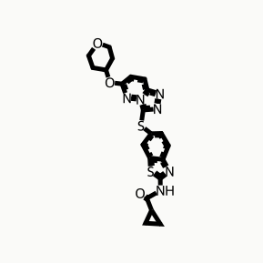 O=C(Nc1nc2ccc(Sc3nnc4ccc(OC5CCOCC5)nn34)cc2s1)C1CC1